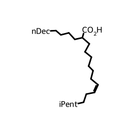 CCCCCCCCCCCCCCC(CCCCCC/C=C\CCC(C)CCC)C(=O)O